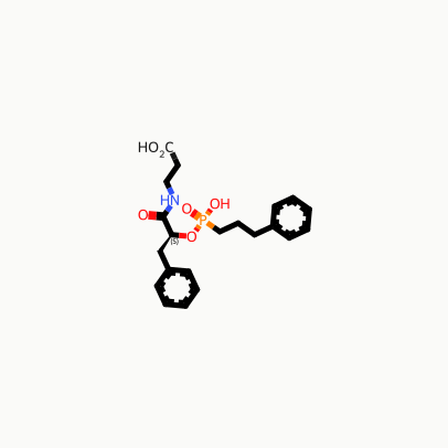 O=C(O)CCNC(=O)[C@H](Cc1ccccc1)OP(=O)(O)CCCc1ccccc1